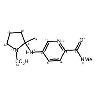 CNC(=O)c1ccc(NC2(C)CCCN2C(=O)O)cn1